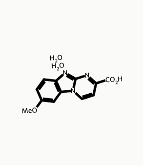 COc1ccc2nc3nc(C(=O)O)ccn3c2c1.O.O